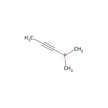 CC#CP(C)C